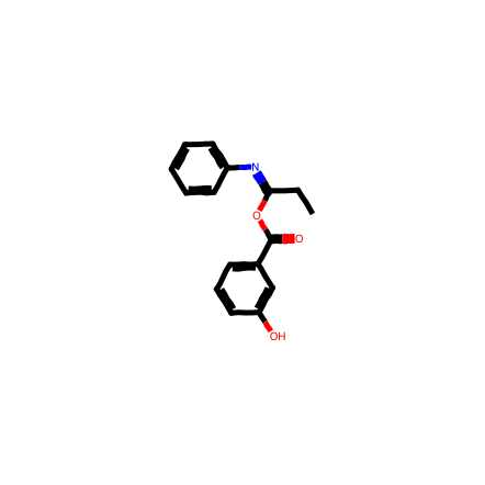 CCC(=Nc1ccccc1)OC(=O)c1cccc(O)c1